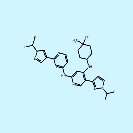 CC1(O)CCC(Nc2cc(Nc3ccnc(-c4cnn(C(F)F)c4)n3)ncc2-c2ccn(C(F)F)n2)CC1